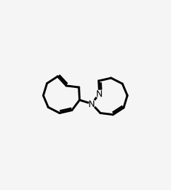 C1=C\C(N2C/C=C\CCC/C=N/2)C/C=C/CCC/1